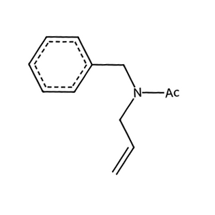 [CH2]C(=O)N(CC=C)Cc1ccccc1